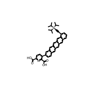 CC(C)[Si](C#Cc1cccc2cc3cc4cc5ccc(-c6ccc(C(=O)O)nc6C(=O)O)cc5cc4cc3cc12)(C(C)C)C(C)C